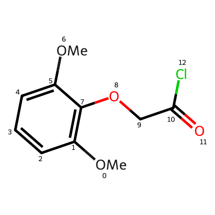 COc1cccc(OC)c1OCC(=O)Cl